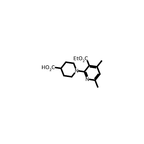 CCOC(=O)c1c(C)cc(C)nc1N1CCC(C(=O)O)CC1